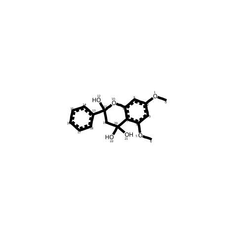 COc1cc(OC)c2c(c1)OC(O)(c1ccccc1)CC2(O)O